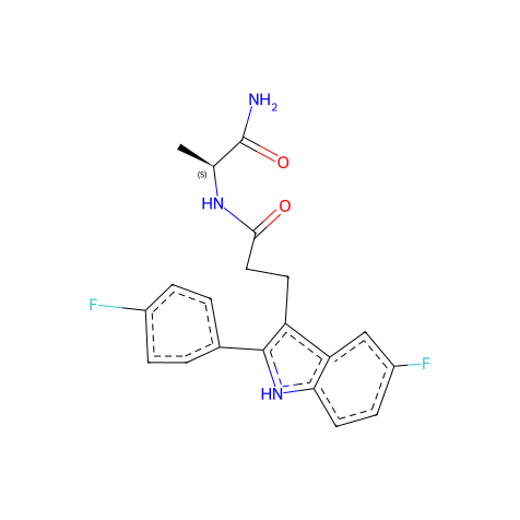 C[C@H](NC(=O)CCc1c(-c2ccc(F)cc2)[nH]c2ccc(F)cc12)C(N)=O